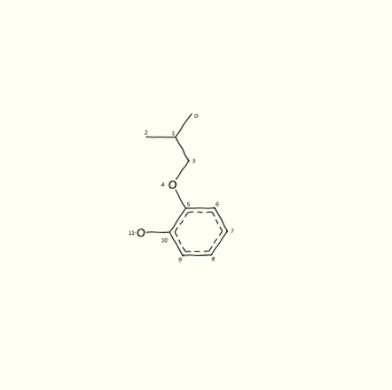 CC(C)COc1ccccc1[O]